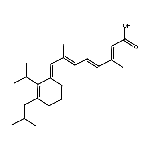 CC(=CC=CC(C)=CC(=O)O)C=C1CCCC(CC(C)C)=C1C(C)C